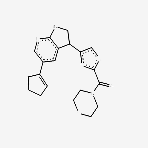 O=C(c1nc(C2CNc3ncc(C4=CCCC4)cc32)cs1)N1CCOCC1